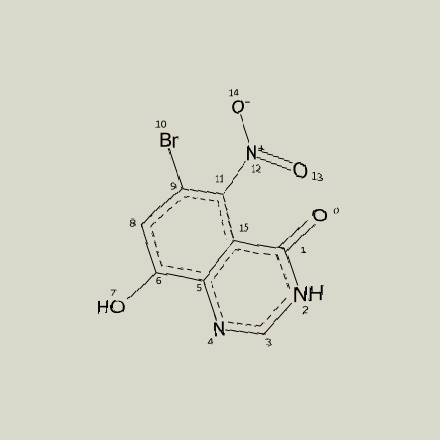 O=c1[nH]cnc2c(O)cc(Br)c([N+](=O)[O-])c12